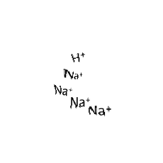 [H+].[Na+].[Na+].[Na+].[Na+]